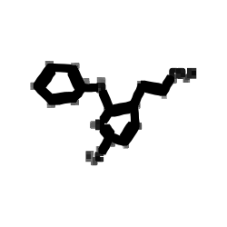 O=C(O)C=Cc1ccc(C(F)(F)F)nc1Oc1ccccc1